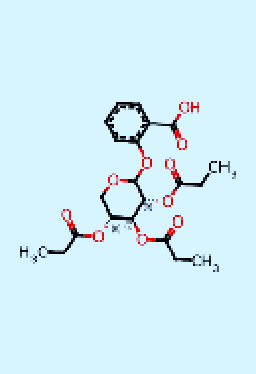 CCC(=O)O[C@H]1[C@H](OC(=O)CC)COC(Oc2ccccc2C(=O)O)[C@@H]1OC(=O)CC